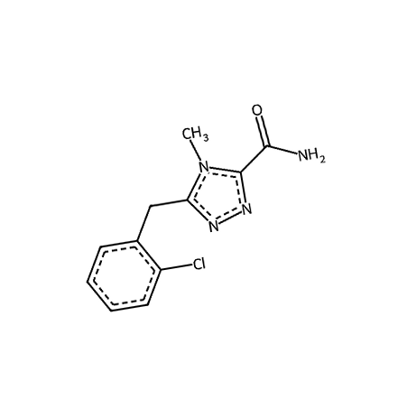 Cn1c(Cc2ccccc2Cl)nnc1C(N)=O